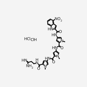 Cl.Cl.Cn1cc(NC(=O)c2cc(NC(=O)c3cc(NC(=O)c4cc5c([N+](=O)[O-])cccc5[nH]4)cn3C)cn2C)cc1C(=O)NCCC(=N)N